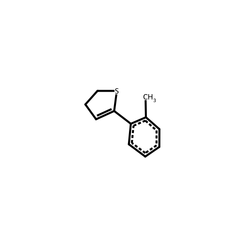 Cc1ccccc1C1=CCCS1